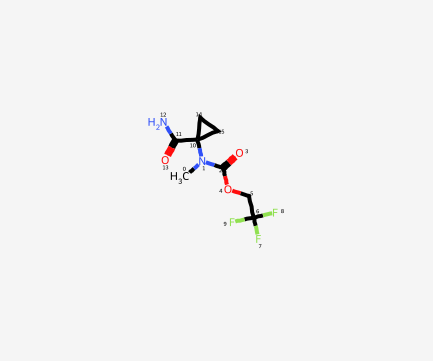 CN(C(=O)OCC(F)(F)F)C1(C(N)=O)CC1